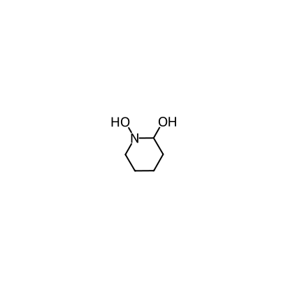 OC1CCCCN1O